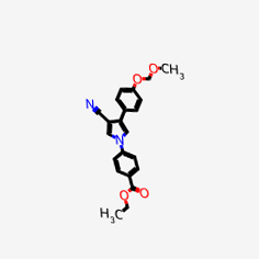 CCOC(=O)c1ccc(-n2cc(C#N)c(-c3ccc(OCOC)cc3)c2)cc1